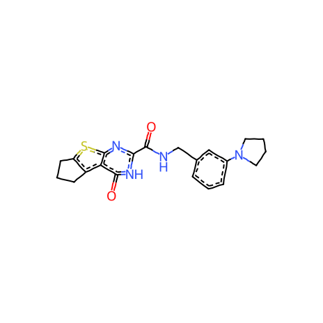 O=C(NCc1cccc(N2CCCC2)c1)c1nc2sc3c(c2c(=O)[nH]1)CCC3